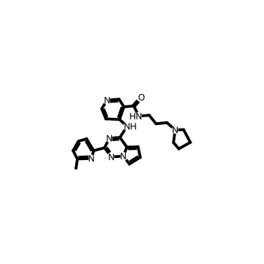 Cc1cccc(-c2nc(Nc3ccncc3C(=O)NCCCN3CCCC3)c3cccn3n2)n1